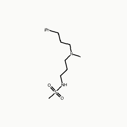 CC(C)CCCN(C)CCCNS(C)(=O)=O